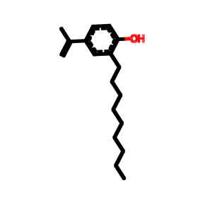 C=C(C)c1ccc(O)c(CCCCCCCCC)c1